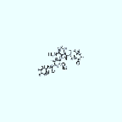 CCOc1cc(C(=O)Nc2ccccn2)ccc1-c1nc([C@@H]2CC[C@H]3CCC(=O)N3C2)n2ccnc(N)c12